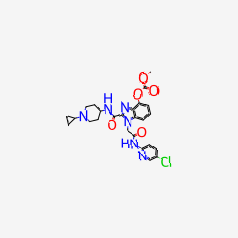 COC(=O)Oc1cccc2c1nc(C(=O)NC1CCN(C3CC3)CC1)n2CC(=O)Nc1ccc(Cl)cn1